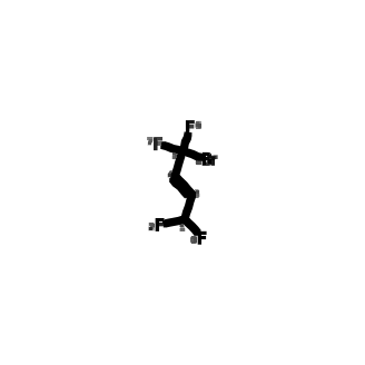 FC(F)C=CC(F)(F)Br